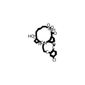 C[C@@]12CC[C@@H]1CN1CCCCc3cc(Cl)ccc3COc3ccc(cc31)C(=O)NS(=O)(=O)CC/C=C/C[C@H]2O